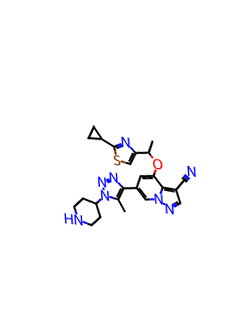 Cc1c(-c2cc(OC(C)c3csc(C4CC4)n3)c3c(C#N)cnn3c2)nnn1C1CCNCC1